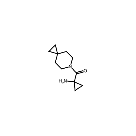 NC1(C(=O)N2CCC3(CC2)CC3)CC1